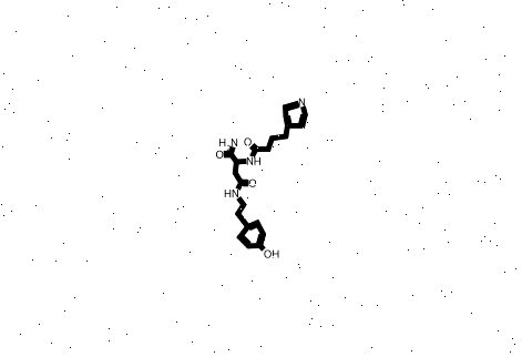 NC(=O)C(CC(=O)NCCc1ccc(O)cc1)NC(=O)CCCc1ccncc1